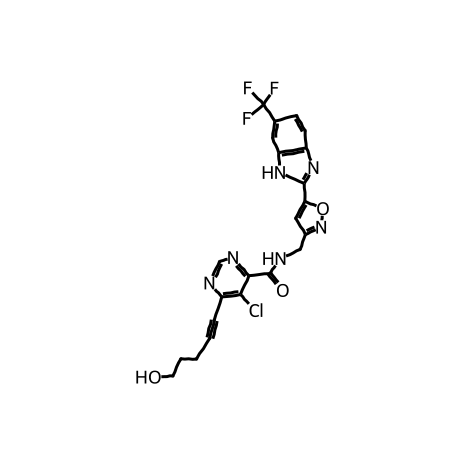 O=C(NCc1cc(-c2nc3ccc(C(F)(F)F)cc3[nH]2)on1)c1ncnc(C#CCCCO)c1Cl